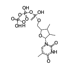 C=P(O)(OCC1OC(n2cc(C)c(=O)[nH]c2=O)C(C)C1C)OP(=O)(O)OP(=O)(O)O